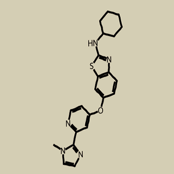 Cn1ccnc1-c1cc(Oc2ccc3nc(NC4CCCCC4)sc3c2)ccn1